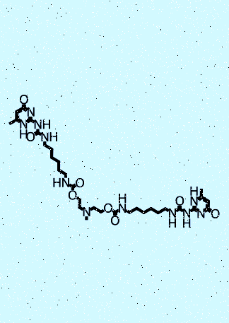 Cc1cc(=O)nc(NC(=O)NCCCCCCNC(=O)OCCN(C)CCOC(=O)NCCCCCCNC(=O)Nc2nc(=O)cc(C)[nH]2)[nH]1